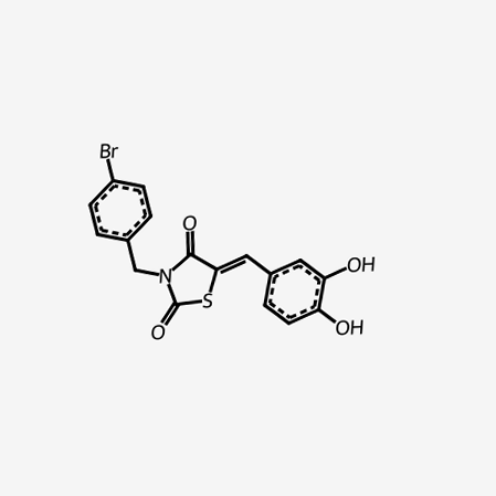 O=C1S/C(=C\c2ccc(O)c(O)c2)C(=O)N1Cc1ccc(Br)cc1